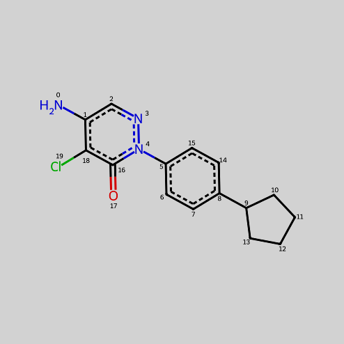 Nc1cnn(-c2ccc(C3CCCC3)cc2)c(=O)c1Cl